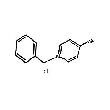 CCCc1cc[n+](Cc2ccccc2)cc1.[Cl-]